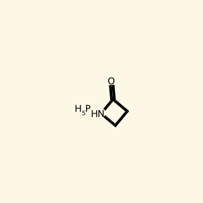 O=C1CCN1.[PH5]